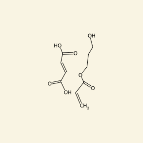 C=CC(=O)OCCCO.O=C(O)C=CC(=O)O